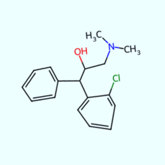 CN(C)CC(O)C(c1ccccc1)c1ccccc1Cl